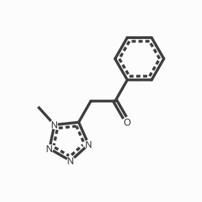 Cn1nnnc1CC(=O)c1ccccc1